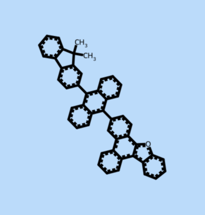 CC1(C)c2ccccc2-c2ccc(-c3c4ccccc4c(-c4ccc5c(c4)c4ccccc4c4c6ccccc6oc54)c4ccccc34)cc21